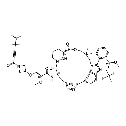 CO[C@@H](COC1CN(C(=O)C#CC(C)(C)N(C)C)C1)C(=O)N[C@H]1Cc2coc(n2)-c2ccc3c(c2)c(c(-c2cccnc2[C@H](C)OC)n3CC(F)(F)F)CC(C)(C)COC(=O)[C@@H]2CCCN(N2)C1=O